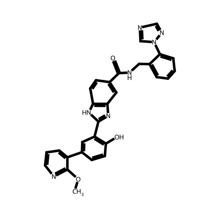 COc1ncccc1-c1ccc(O)c(-c2nc3cc(C(=O)NCc4ccccc4-n4cncn4)ccc3[nH]2)c1